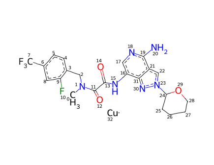 CN(Cc1ccc(C(F)(F)F)cc1F)C(=O)C(=O)Nc1cnc(N)c2cn(C3CCCCO3)nc12.[Cu]